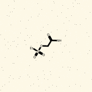 CCS(=O)(=O)OCC([NH])=O